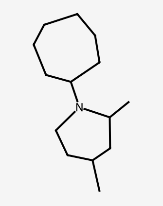 CC1CCN(C2CCCCCC2)C(C)C1